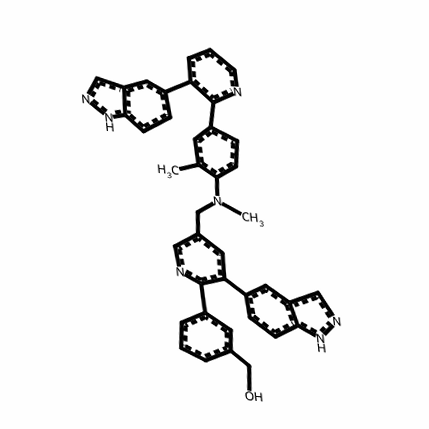 Cc1cc(-c2ncccc2-c2ccc3[nH]ncc3c2)ccc1N(C)Cc1cnc(-c2cccc(CO)c2)c(-c2ccc3[nH]ncc3c2)c1